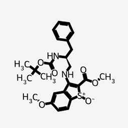 COC(=O)c1c(NC[C@H](Cc2ccccc2)NC(=O)OC(C)(C)C)c2cc(OC)ccc2[s+]1[O-]